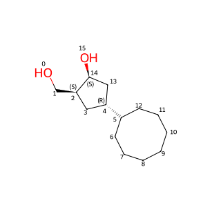 OC[C@@H]1C[C@@H](C2CCCCCCC2)C[C@@H]1O